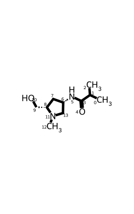 CC(C)C(=O)N[C@H]1C[C@@H](CO)N(C)C1